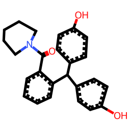 O=C(c1ccccc1C(c1ccc(O)cc1)c1ccc(O)cc1)N1CCCCC1